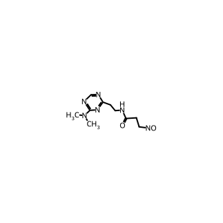 CN(C)c1ncnc(CCNC(=O)CCN=O)n1